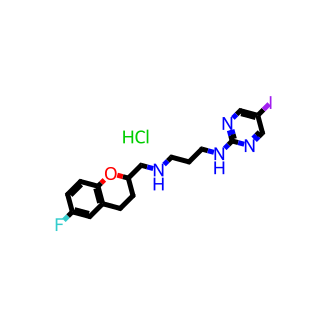 Cl.Fc1ccc2c(c1)CCC(CNCCCNc1ncc(I)cn1)O2